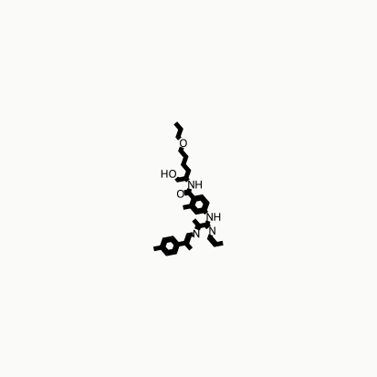 C\C=C/N=C(Nc1ccc(C(=O)NC(CO)CCCCOCCC)c(C)c1)\C(C)=N\C=C(/C)c1ccc(C)cc1